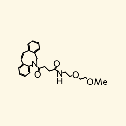 COCCOCCNC(=O)CCC(=O)N1Cc2ccccc2/C=C\c2ccccc21